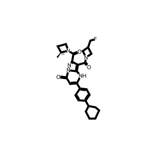 C[C@H]1CCN1C(=O)c1nn2c(=O)cc(-c3ccc(C4CCCCC4)cc3)[nH]c2c1C(=O)N1CC(CF)C1